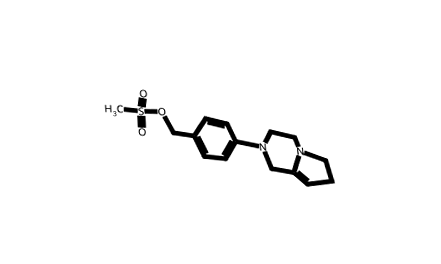 CS(=O)(=O)OCc1ccc(N2CCN3CCC=C3C2)cc1